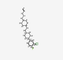 C=CCCCC1CCC(CCC2CCC(c3ccc(F)c(Cl)c3)CC2)CC1